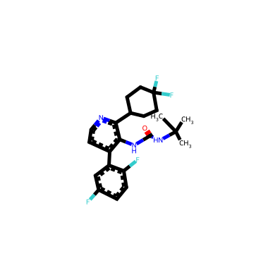 CC(C)(C)NC(=O)Nc1c(-c2cc(F)ccc2F)ccnc1C1CCC(F)(F)CC1